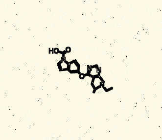 CCN1Cc2ncnc(Oc3ccc4c(ccn4C(=O)O)c3)c2CC1C